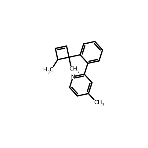 Cc1ccnc(-c2ccccc2C2(C)C=CC2C)c1